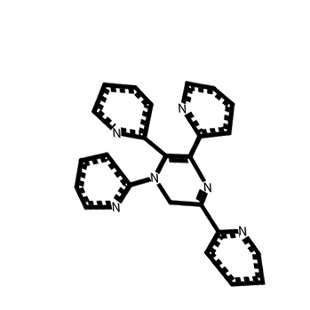 c1ccc(C2=NC(c3ccccn3)=C(c3ccccn3)N(c3ccccn3)C2)nc1